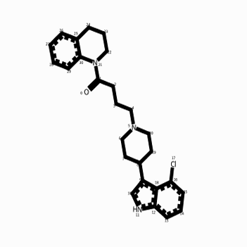 O=C(CCCN1CCC(c2c[nH]c3cccc(Cl)c23)CC1)N1CCCc2ccccc21